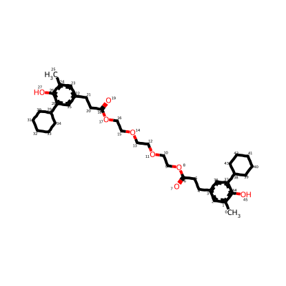 Cc1cc(CCC(=O)OCCOCCOCCOC(=O)CCc2cc(C)c(O)c(C3CCCCC3)c2)cc(C2CCCCC2)c1O